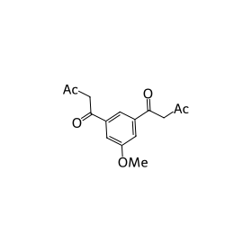 COc1cc(C(=O)CC(C)=O)cc(C(=O)CC(C)=O)c1